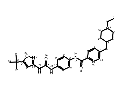 CCN1CCC(Cc2ccc(C(=O)Nc3ccc(NC(=O)Nc4cc(C(C)(C)C)on4)cc3)nc2)CC1